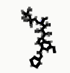 C=Cc1nc(NCc2ccccc2)c2ncn([C@H](O)[C@H](O)[C@H](O)/C(=C\C)COP(=O)(O)CP(=O)(O)O)c2n1